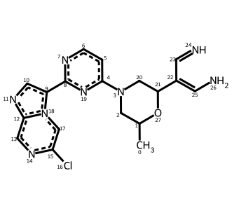 CC1CN(c2ccnc(-c3cnc4cnc(Cl)cn34)n2)CC(/C(C=N)=C/N)O1